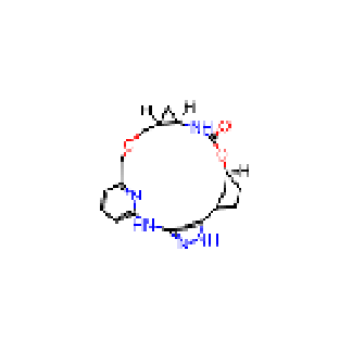 O=C1N[C@@H]2C[C@H]2COCc2cccc(n2)Nc2cc([nH]n2)C2CC[C@H](C2)O1